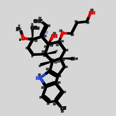 CC(C)CO[C@@]1(OC(C)C)CC[C@]2(C)[C@@]3(C)c4[nH]c5ccc(C#N)cc5c4C[C@@H]3C[C@H](OCCCO)[C@@]2(O)/C1=C/C=O